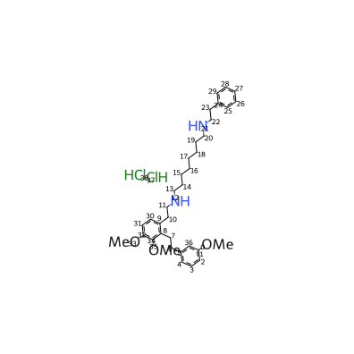 COc1cccc(CCc2c(CCNCCCCCCCCNCCc3ccccc3)ccc(OC)c2OC)c1.Cl.Cl